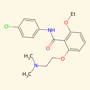 CCOc1cccc(OCCN(C)C)c1C(=O)Nc1ccc(Cl)cc1